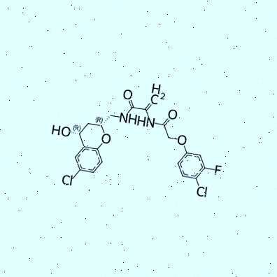 C=C(NC(=O)COc1ccc(Cl)c(F)c1)C(=O)NC[C@H]1C[C@@H](O)c2cc(Cl)ccc2O1